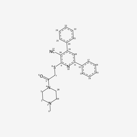 CN1CCN(C(=O)CSc2nc(-c3ccccc3)cc(-c3ccccc3)c2C#N)CC1